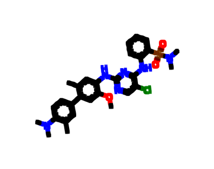 COc1cc(-c2ccc(N(C)C)c(C)c2)c(C)cc1Nc1ncc(Cl)c(Nc2ccccc2S(=O)(=O)N(C)C)n1